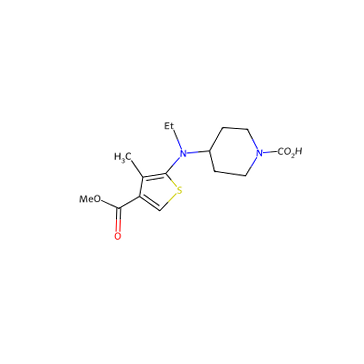 CCN(c1scc(C(=O)OC)c1C)C1CCN(C(=O)O)CC1